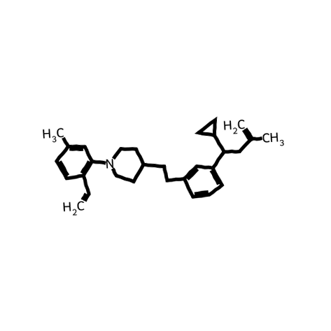 C=Cc1ccc(C)cc1N1CCC(CCc2cccc(C(CC(=C)C)C3CC3)c2)CC1